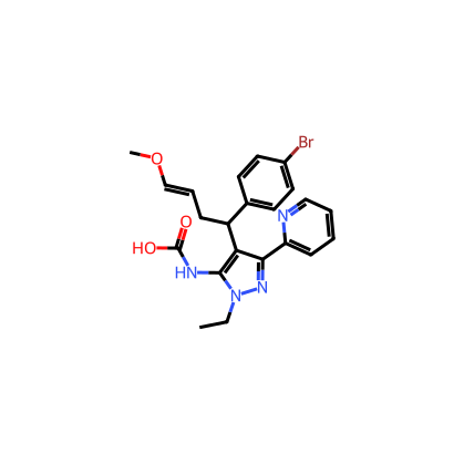 CCn1nc(-c2ccccn2)c(C(CC=COC)c2ccc(Br)cc2)c1NC(=O)O